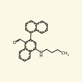 CCCCNc1cc(-c2cccc3ccccc23)c(C=O)c2ccccc12